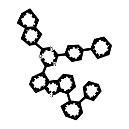 c1ccc(-c2ccc(-c3nc(-c4ccc5ccccc5c4)nc(-c4cccc5oc6c(-c7ccccc7-c7ccccc7)cccc6c45)n3)cc2)cc1